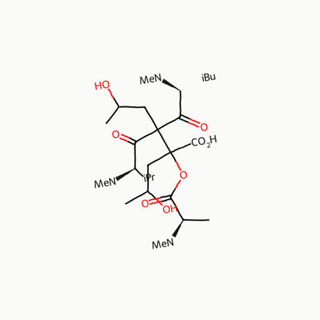 CC[C@H](C)[C@H](NC)C(=O)C(CC(C)O)(C(=O)[C@H](NC)C(C)C)C(CC(C)O)(OC(=O)[C@@H](C)NC)C(=O)O